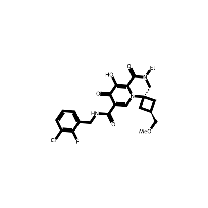 CCN1C[C@]2(C[C@H](COC)C2)n2cc(C(=O)NCc3cccc(Cl)c3F)c(=O)c(O)c2C1=O